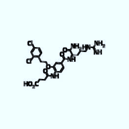 N=C(N)NCCC[C@H](NC(=O)c1ccc(NC(=O)CCC(=O)O)c(OCCc2ccc(Cl)cc2Cl)c1)C(N)=O